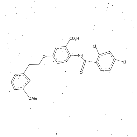 COc1cccc(CCOc2ccc(NC(=O)c3ccc(Cl)cc3Cl)c(C(=O)O)c2)c1